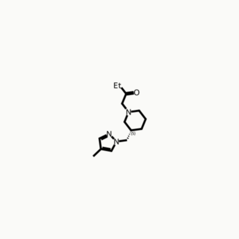 CCC(=O)CN1CCC[C@H](Cn2cc(C)cn2)C1